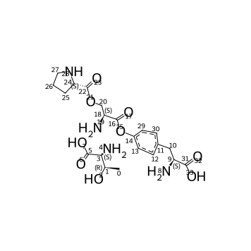 C[C@@H](O)[C@H](N)C(=O)O.N[C@@H](Cc1ccc(OC(=O)[C@@H](N)COC(=O)[C@@H]2CCCN2)cc1)C(=O)O